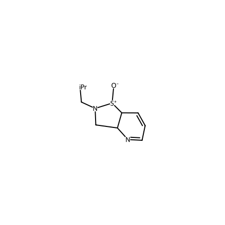 CC(C)CN1CC2N=CC=CC2[S+]1[O-]